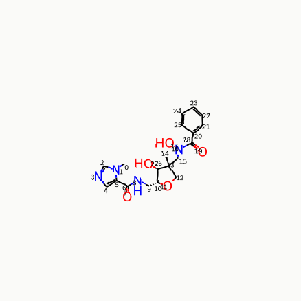 Cn1cncc1C(=O)NC[C@H]1OC[C@@](C)(CN(O)C(=O)c2ccccc2)[C@@H]1O